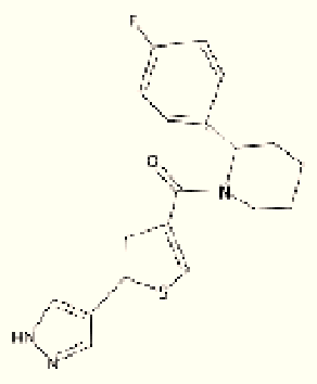 O=C(C1=CSC(c2cn[nH]c2)C1)N1CCCC[C@H]1c1ccc(F)cc1